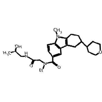 CCN(CC(=O)NC[C@@H](C)O)C(=O)c1ccc2c(c1)c1c(n2C)CCC(C2CCOCC2)C1